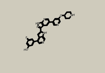 Oc1cc(F)cc(-c2cncc3[nH]c(-c4n[nH]c5ncc(-c6cncc(OC7CCNCC7)c6)cc45)cc23)c1